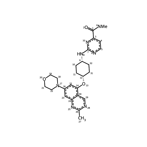 CNC(=O)c1ccnc(N[C@H]2CC[C@@H](Oc3cc(N4CCOCC4)cc4nc(C)ncc34)CC2)n1